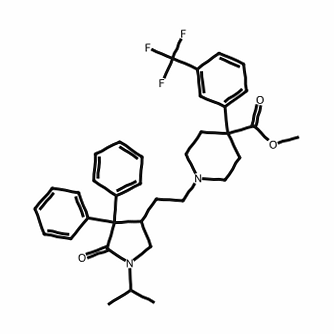 COC(=O)C1(c2cccc(C(F)(F)F)c2)CCN(CCC2CN(C(C)C)C(=O)C2(c2ccccc2)c2ccccc2)CC1